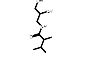 CC(C)C(C)C(=O)NCC(O)CO